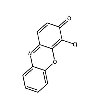 O=c1ccc2nc3ccccc3oc-2c1Cl